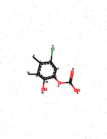 Cc1c(Cl)cc(OC(=O)O)c(O)c1C